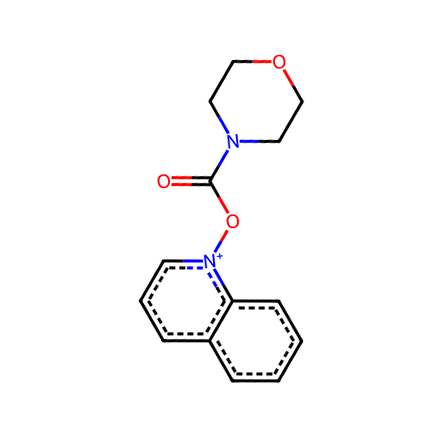 O=C(O[n+]1cccc2ccccc21)N1CCOCC1